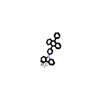 CC12C=CC=CC1N(C1CC=C(C3C4=C(CCCC4)C(c4ccccc4)=C4C=CC=CC43)CC1)C1=C2C=CCC1